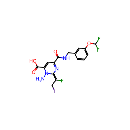 NN1C(C(=O)O)=CC(C(=O)NCc2cccc(OC(F)F)c2)=N/C1=C(\F)CI